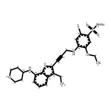 CC(=O)NS(=O)(=O)c1cc(OCC#N)c(NCC#Cc2sc3c(NC4CCOCC4)cccc3c2CC(F)(F)F)cc1F